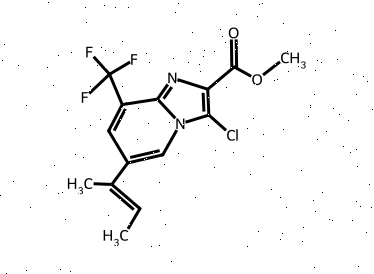 CC=C(C)c1cc(C(F)(F)F)c2nc(C(=O)OC)c(Cl)n2c1